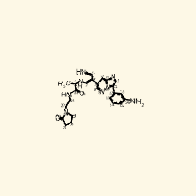 CC(N/C=C(\C=N)c1cnn2c(-c3cccc(N)c3)cnc2c1)C(=O)NCCN1CCCC1=O